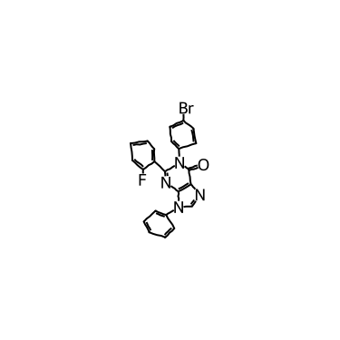 O=c1c2ncn(-c3ccccc3)c2nc(-c2ccccc2F)n1-c1ccc(Br)cc1